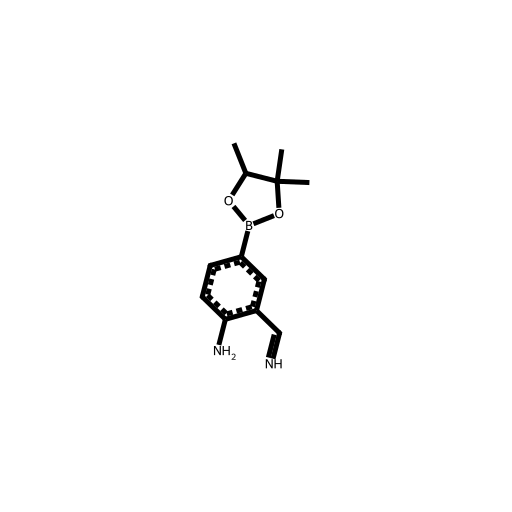 CC1OB(c2ccc(N)c(C=N)c2)OC1(C)C